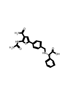 NC(=O)Nc1sc(-c2ccc(CN[C@H](C(=O)O)c3ccccc3)cc2)cc1C(N)=O